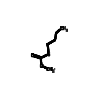 [CH2]OC(=O)SCCCC